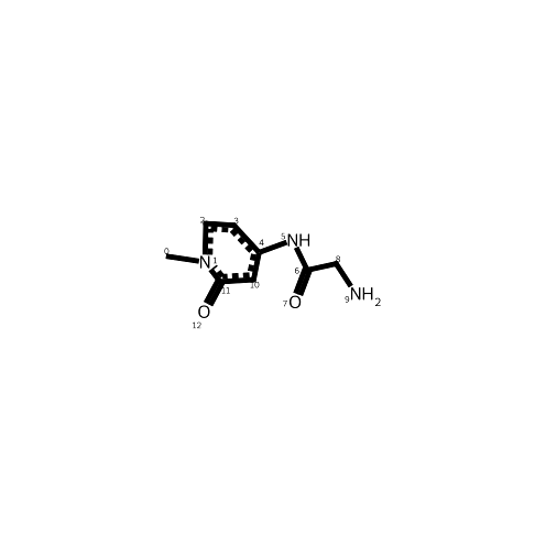 Cn1ccc(NC(=O)CN)cc1=O